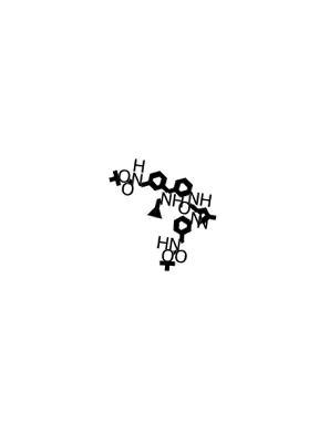 Cc1cc(C(=O)Nc2cccc(C(NCC3CC3)c3cccc(CNC(=O)OC(C)(C)C)c3)c2)n(-c2cccc(CNC(=O)OC(C)(C)C)c2)n1